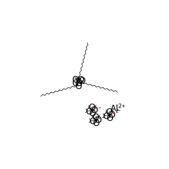 CCC(OC(C)C)(OC(C)C)C(=O)[O-].CCC(OC(C)C)(OC(C)C)C(=O)[O-].CCC(OC(C)C)(OC(C)C)C(=O)[O-].CCCCCCCCCCCCCCCCCC(=O)[O][Ti](=[O])([O]C(=O)CCCCCCCCCCCCCCCCC)[C](=O)CCCCCCCCCCCCCCCCC.C[CH](C)[Al+2]